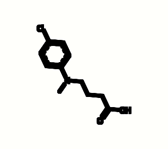 CN(CCCC(=O)O)c1ccc(Cl)cc1